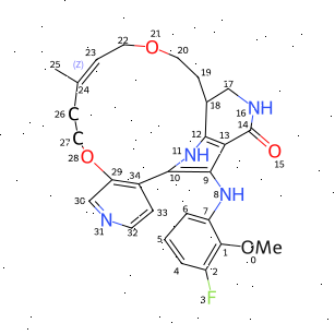 COc1c(F)cccc1Nc1c2[nH]c3c1C(=O)NCC3CCOC/C=C(/C)CCOc1cnccc1-2